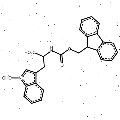 O=Cn1cc(CC(NC(=O)OCC2c3ccccc3-c3ccccc32)C(=O)O)c2ccccc21